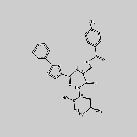 Cc1ccc(C(=O)NC[C@H](NC(=O)c2csc(-c3ccccc3)n2)C(=O)N[C@@H](CC(C)C)B(O)O)cc1